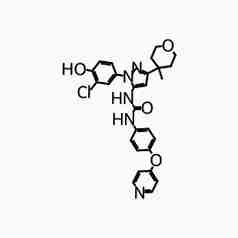 CC1(c2cc(NC(=O)Nc3ccc(Oc4ccncc4)cc3)n(-c3ccc(O)c(Cl)c3)n2)CCOCC1